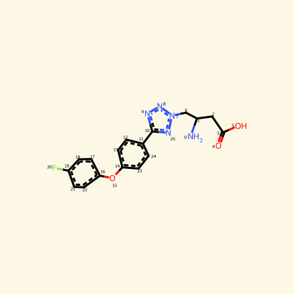 NC(CC(=O)O)Cn1nnc(-c2ccc(Oc3ccc(F)cc3)cc2)n1